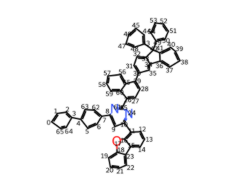 c1ccc(-c2ccc(-c3cc(-c4cccc5c4oc4ccccc45)nc(-c4ccc(-c5ccc6c(c5)-c5ccccc5C6(c5ccccc5)c5ccccc5)c5ccccc45)n3)cc2)cc1